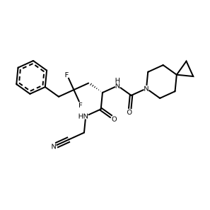 N#CCNC(=O)[C@H](CC(F)(F)Cc1ccccc1)NC(=O)N1CCC2(CC1)CC2